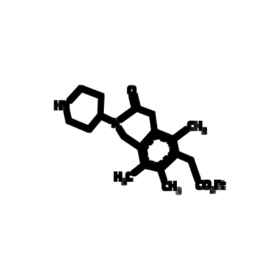 CCOC(=O)Cc1c(C)c(C)c2c(c1C)CC(=O)N(C1CCNCC1)C2